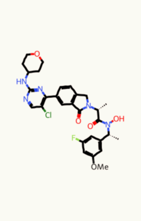 COc1cc(F)cc([C@@H](C)N(O)C(=O)[C@@H](C)N2Cc3ccc(-c4nc(NC5CCOCC5)ncc4Cl)cc3C2=O)c1